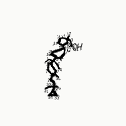 CCC(CC)(c1ccc(C2=CC(C)(CC(=O)O)CC=C2)cc1)c1ccc(/C=C/C(C)(CC)C2CC2)c(C)c1